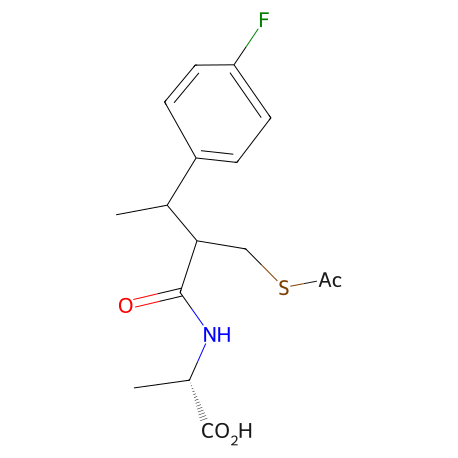 CC(=O)SCC(C(=O)N[C@@H](C)C(=O)O)C(C)c1ccc(F)cc1